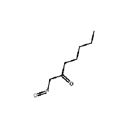 CCCCCC(=O)CP=O